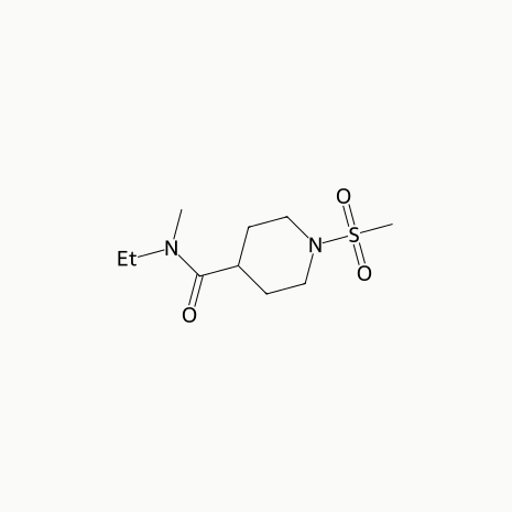 [CH2]CN(C)C(=O)C1CCN(S(C)(=O)=O)CC1